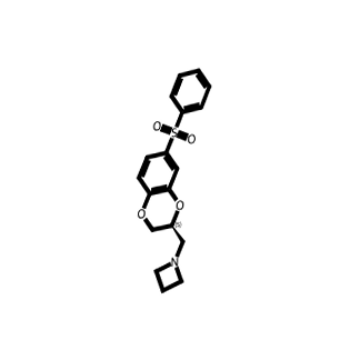 O=S(=O)(c1ccccc1)c1ccc2c(c1)O[C@@H](CN1CCC1)CO2